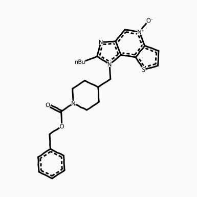 CCCCc1nc2c[n+]([O-])c3ccsc3c2n1CC1CCN(C(=O)OCc2ccccc2)CC1